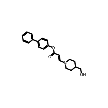 O=C(C=CN1CCC(CO)CC1)Oc1ccc(-c2ccccc2)cc1